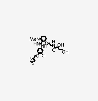 CNc1cccc(OCCNC(=O)[C@@H](O)CCO)c1C(=N)Nc1ccc(OCc2cscn2)c(Cl)c1